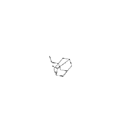 CCC12CC3CC(C1)C(C)C(C3)C2